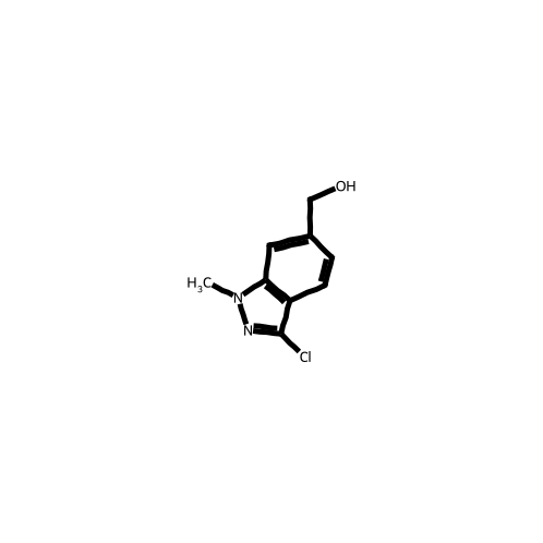 Cn1nc(Cl)c2ccc(CO)cc21